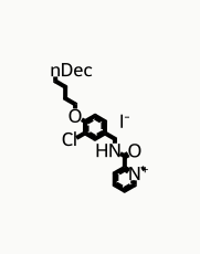 CCCCCCCCCCCCCCOc1ccc(CNC(=O)c2cccc[n+]2C)cc1Cl.[I-]